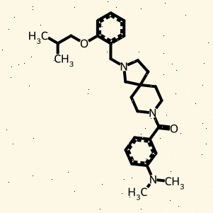 CC(C)COc1ccccc1CN1CCC2(CCN(C(=O)c3cccc(N(C)C)c3)CC2)C1